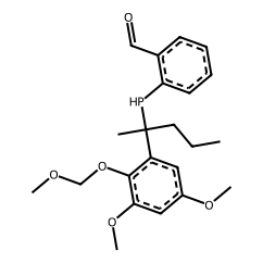 CCCC(C)(Pc1ccccc1C=O)c1cc(OC)cc(OC)c1OCOC